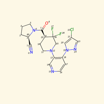 N#C[C@H]1CCCN1C(=O)[C@@H]1CCN(c2cnccc2-n2cc(Cl)cn2)CC1(F)F